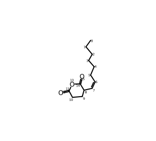 CCCCCC/C=C\C1CCC(=O)OC1=O